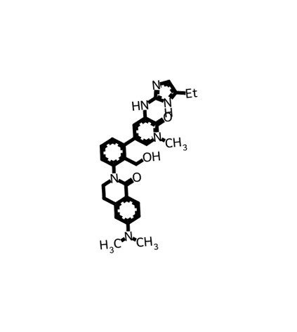 CCc1cnc(Nc2cc(-c3cccc(N4CCc5cc(N(C)C)ccc5C4=O)c3CO)cn(C)c2=O)[nH]1